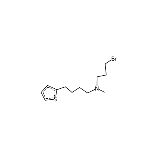 CN(CCCBr)CCCCc1cccs1